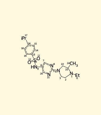 CCN1CCN(c2ncc(NS(=O)(=O)c3ccc(C(C)C)cc3)cn2)CC1C